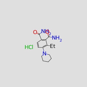 CCc1c(N2CCCCC2)ccc(C(N)=O)c1C(N)=O.Cl